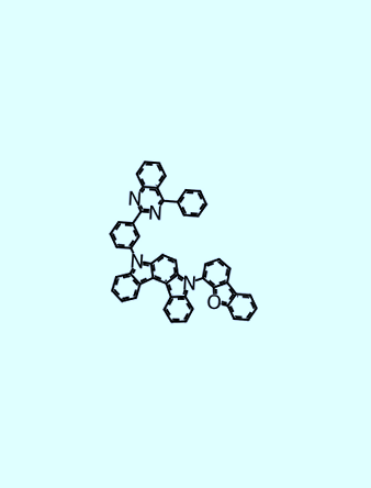 c1ccc(-c2nc(-c3cccc(-n4c5ccccc5c5c6c7ccccc7n(-c7cccc8c7oc7ccccc78)c6ccc54)c3)nc3ccccc23)cc1